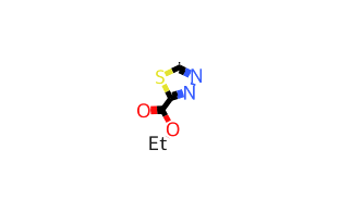 CCOC(=O)c1nn[c]s1